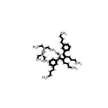 CCCCC1=C(c2cccc(CCCC)c2)[N+](=[N-])C(c2cccc(CCCC)c2)=C1CCCC.CC[N](CC)[Ni][N](CC)CC